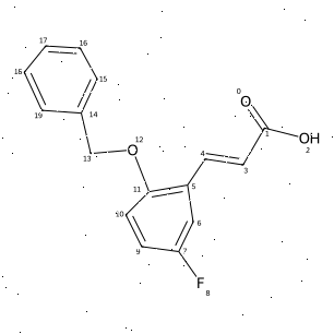 O=C(O)C=Cc1cc(F)ccc1OCc1ccccc1